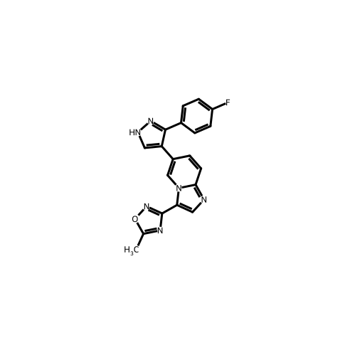 Cc1nc(-c2cnc3ccc(-c4c[nH]nc4-c4ccc(F)cc4)cn23)no1